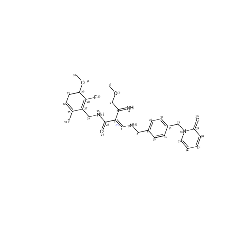 COCC(=N)/C(=C\NCc1ccc(Cn2ccccc2=O)cc1)C(=O)NCC1=C(F)C(OC)CC=C1F